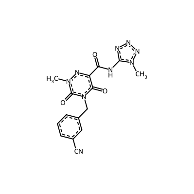 Cn1nnnc1NC(=O)c1nn(C)c(=O)n(Cc2cccc(C#N)c2)c1=O